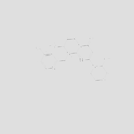 CC1COCCN1c1cc(=O)n2c(n1)N(Cc1cc(Cl)ccn1)C(C(F)(F)F)CC2